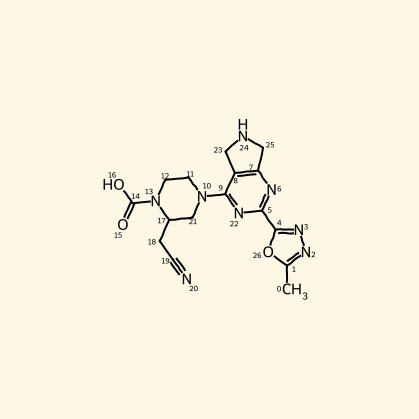 Cc1nnc(-c2nc3c(c(N4CCN(C(=O)O)C(CC#N)C4)n2)CNC3)o1